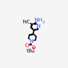 CC(C)(C)OC(=O)N1CC=C(c2cnc(N)c(C#N)c2)CC1